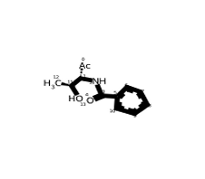 CC(=O)[C@H](NC(=O)c1ccccc1)[C@H](C)O